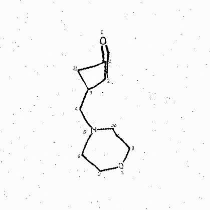 O=C1CC(CN2CCOCC2)C1